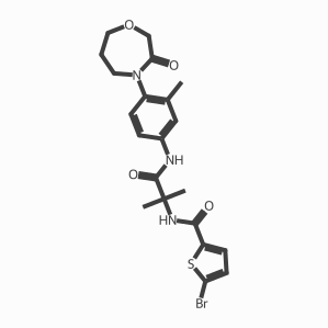 Cc1cc(NC(=O)C(C)(C)NC(=O)c2ccc(Br)s2)ccc1N1CCCOCC1=O